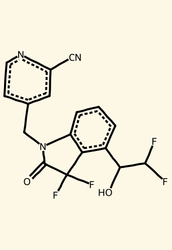 N#Cc1cc(CN2C(=O)C(F)(F)c3c(C(O)C(F)F)cccc32)ccn1